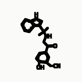 CC(C)(NCC(=O)c1ccc(O)c(CC#N)c1)c1c[nH]c2ccccc12